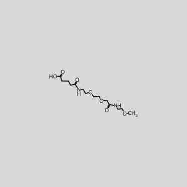 COCCNC(=O)COCCOCCNC(=O)CCCC(=O)O